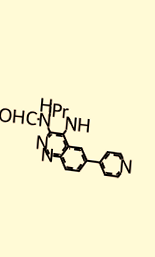 CC(C)Nc1c(NC=O)nnc2ccc(-c3ccncc3)cc12